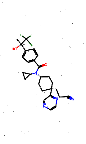 C[C@](O)(c1ccc(C(=O)N(C2CC2)[C@H]2CC[C@](CCC#N)(c3cnccn3)CC2)cc1)C(F)(F)F